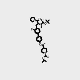 CC(C)OC(=O)N1CCC([C@H](C)Oc2ccc(-c3ccc(CC(NC(=O)OC(C)(C)C)C(=O)N4CCCC4)c(F)c3)cc2)CC1